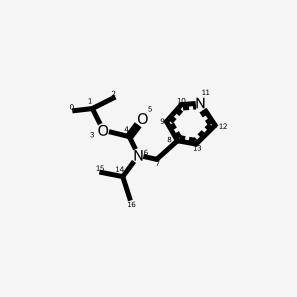 CC(C)OC(=O)N(Cc1ccncc1)C(C)C